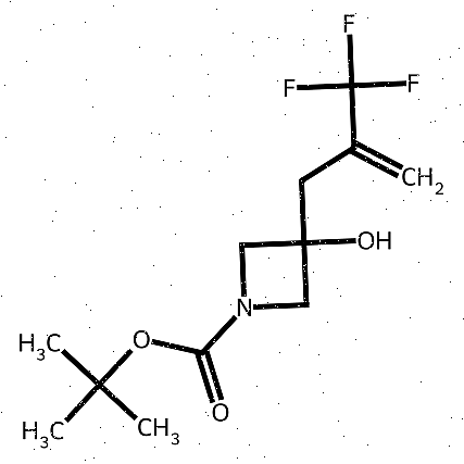 C=C(CC1(O)CN(C(=O)OC(C)(C)C)C1)C(F)(F)F